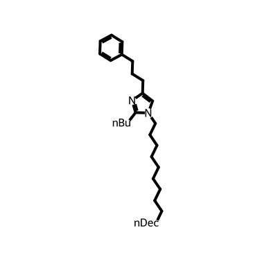 CCCCCCCCCCCCCCCCCCCn1cc(CCCc2ccccc2)nc1CCCC